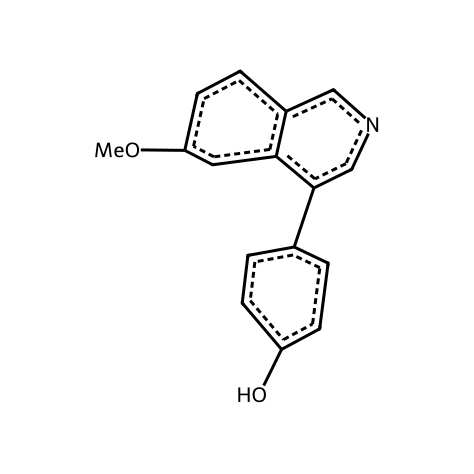 COc1ccc2cncc(-c3ccc(O)cc3)c2c1